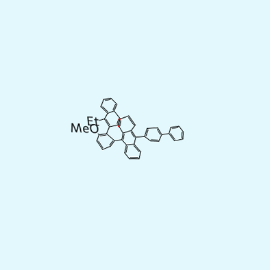 CCc1c(-c2c(OC)cccc2-c2c3ccccc3c(-c3ccc(-c4ccccc4)cc3)c3ccccc23)ccc2ccccc12